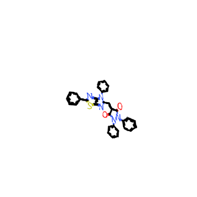 O=C1C(=Cc2nc3sc(-c4ccccc4)nc3n2-c2ccccc2)C(=O)N(c2ccccc2)N1c1ccccc1